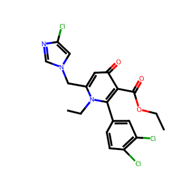 CCOC(=O)c1c(-c2ccc(Cl)c(Cl)c2)n(CC)c(Cn2cnc(Cl)c2)cc1=O